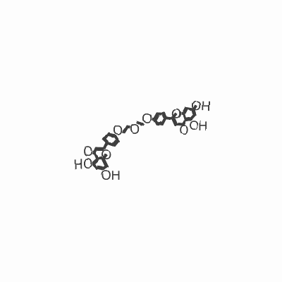 O=c1cc(-c2ccc(OCCOCCOc3ccc(-c4cc(=O)c5c(O)cc(O)cc5o4)cc3)cc2)oc2cc(O)cc(O)c12